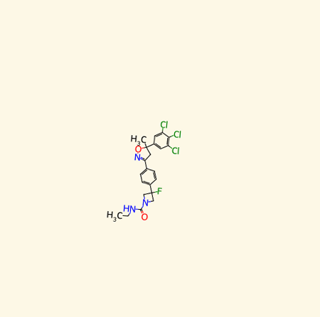 CCNC(=O)N1CC(F)(c2ccc(C3=NOC(C)(c4cc(Cl)c(Cl)c(Cl)c4)C3)cc2)C1